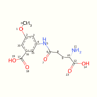 COc1cc(NC(=O)CC[C@H](N)C(=O)O)cc(C(=O)O)c1